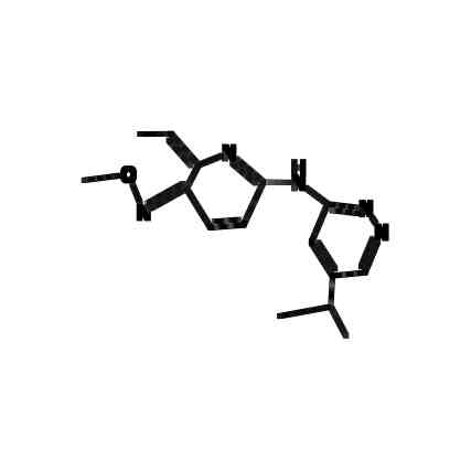 C/C=C1/N=C(Nc2cc(C(C)C)cnn2)C=C/C1=N/OC